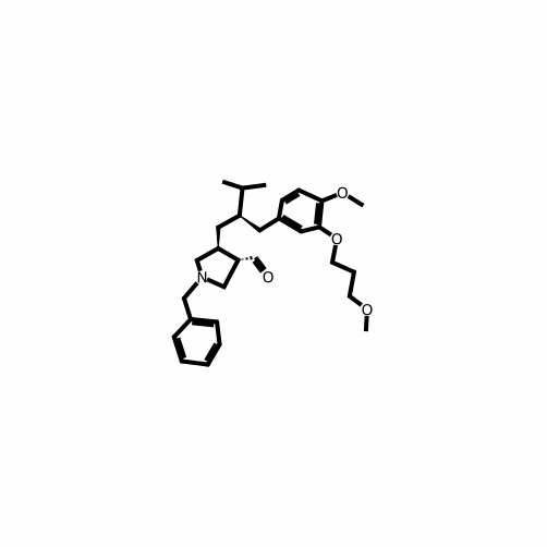 COCCCOc1cc(C[C@@H](C[C@@H]2CN(Cc3ccccc3)C[C@H]2C=O)C(C)C)ccc1OC